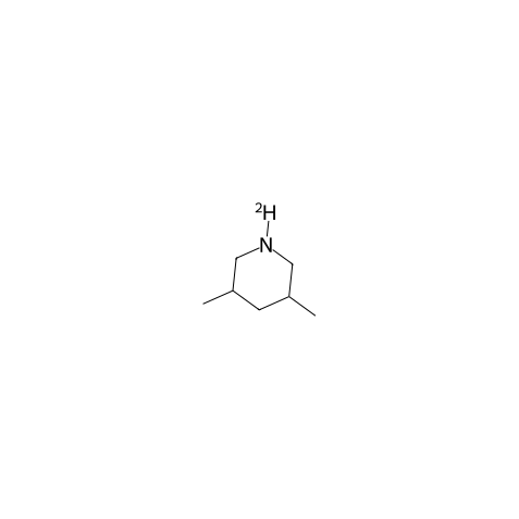 [2H]N1CC(C)CC(C)C1